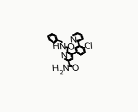 NC(=O)c1cnc(C(=O)NCc2ccccc2)c(-c2ccc(Cl)c(-c3ccccn3)c2)c1